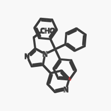 O=CCc1ncc(-c2ccncc2)n1C(c1ccccc1)(c1ccccc1)c1ccccc1